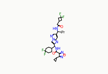 CC(C)C(NC(=O)CC1CC(F)(F)C1)c1cnn2cc([C@@H](NC(=O)c3nonc3C3CC3)C3CCC(F)(F)CC3)nc2c1